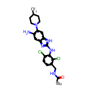 CC(C)(C)C(=O)NCc1ccc(Cl)c(Nc2nc3cc(N)c(N4CCC(C(F)(F)F)CC4)cc3[nH]2)c1Cl